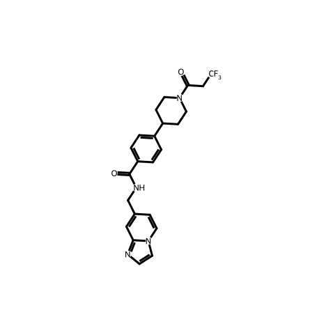 O=C(NCc1ccn2ccnc2c1)c1ccc(C2CCN(C(=O)CC(F)(F)F)CC2)cc1